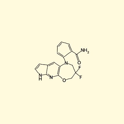 NC(=O)c1ccccc1N1CC(F)(F)COc2nc3[nH]ccc3cc21